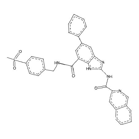 CS(=O)(=O)c1ccc(CNC(=O)c2cc(-c3ccccc3)cc3nc(NC(=O)c4cc5ccccc5cn4)[nH]c23)cc1